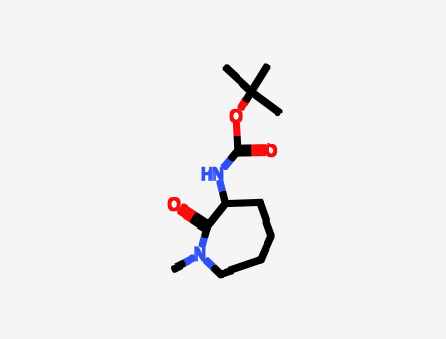 CN1CCCCC(NC(=O)OC(C)(C)C)C1=O